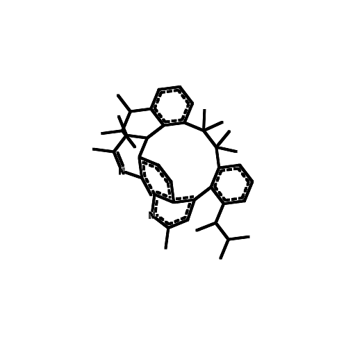 CC1=Nc2c3ccc4c(cc(C)nc24)-c2c(C(C)C(C)C)cccc2C(C)(C)C(C)(C)c2cccc(C(C)C(C)C)c2C3C1C